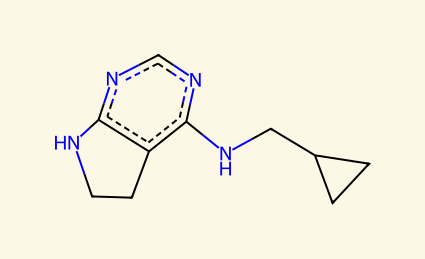 c1nc2c(c(NCC3CC3)n1)CCN2